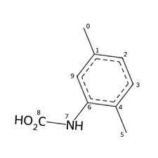 Cc1ccc(C)c(NC(=O)O)c1